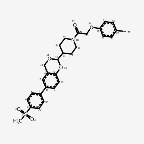 CS(=O)(=O)c1ccc(-c2ccc3c(c2)COC(C2CCN(C(=O)COc4ccc(F)cc4)CC2)O3)cc1